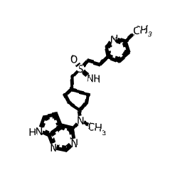 Cc1ccc(CCS(=N)(=O)CC2CCC(N(C)c3ncnc4[nH]ccc34)CC2)cn1